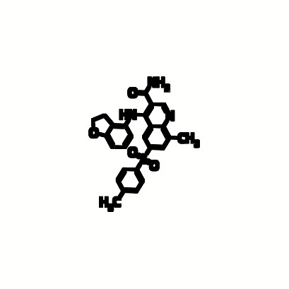 Cc1ccc(S(=O)(=O)c2cc(C)c3ncc(C(N)=O)c(Nc4cccc5c4CCO5)c3c2)cc1